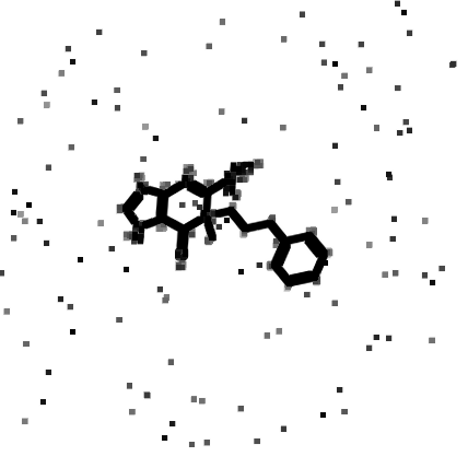 C[N+]1(CCCc2ccccc2)C(=O)c2[nH]cnc2N=C1N.Cl